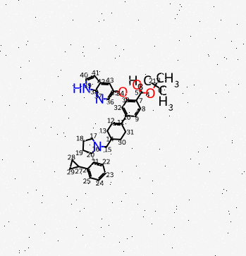 CC(C)(C)OC(=O)c1ccc(C2=CCC(CN3CCC[C@H]3c3ccccc3C3CC3)CC2)cc1Oc1cnc2[nH]ccc2c1